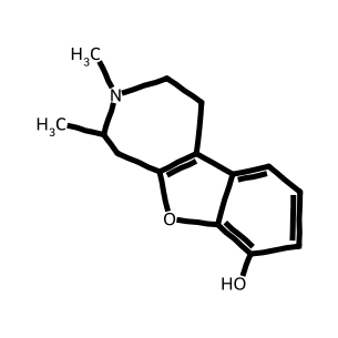 CC1Cc2oc3c(O)cccc3c2CCN1C